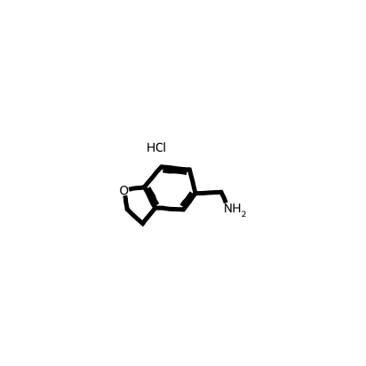 Cl.NCc1ccc2c(c1)CCO2